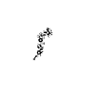 CN(CCCn1c(=O)c(=O)[nH]n(C)c1=S)C(=O)c1ccc(Nc2nccn3c(-c4ccc(OCC#N)c(F)c4F)cnc23)cc1Cl